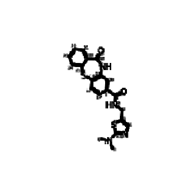 CN(C)c1ncc(CNC(=O)c2ccc3c(c2)NC(=O)c2ccccc2S3)s1